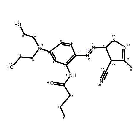 CCCC(=O)Nc1cc(N(CCO)CCO)ccc1/N=N/C1SN=C(C)C1C#N